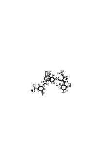 COC(=O)c1cc(F)cc(C2CC(O)(c3ccc(OCc4c(-c5c(Cl)cccc5Cl)nsc4C4CC4)cc3C(F)(F)F)C2)c1